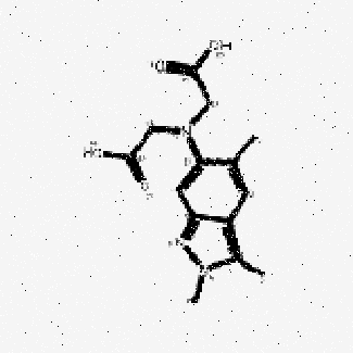 Cc1cc2c(C)n(C)nc2cc1N(CC(=O)O)CC(=O)O